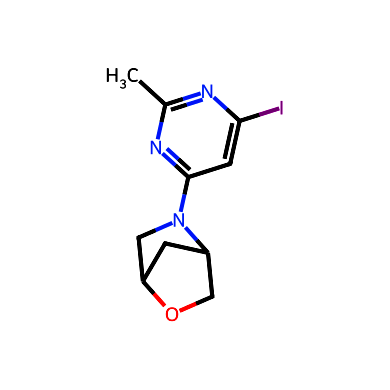 Cc1nc(I)cc(N2CC3CC2CO3)n1